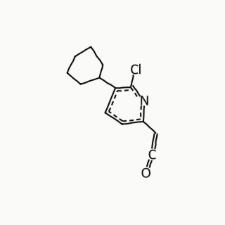 O=C=Cc1ccc(C2CCCCC2)c(Cl)n1